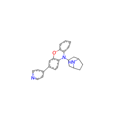 c1ccc2c(c1)Oc1cc(-c3ccncc3)ccc1N2C1CC2CCC(C1)N2